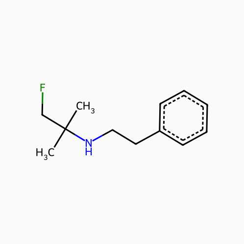 CC(C)(CF)NCCc1ccccc1